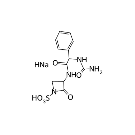 NC(=O)NC(C(=O)NC1CN(S(=O)(=O)O)C1=O)c1ccccc1.[NaH]